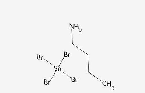 CCCCN.[Br][Sn]([Br])([Br])[Br]